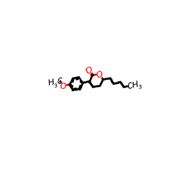 CCCCCC1CCC(c2ccc(OC)cc2)C(=O)O1